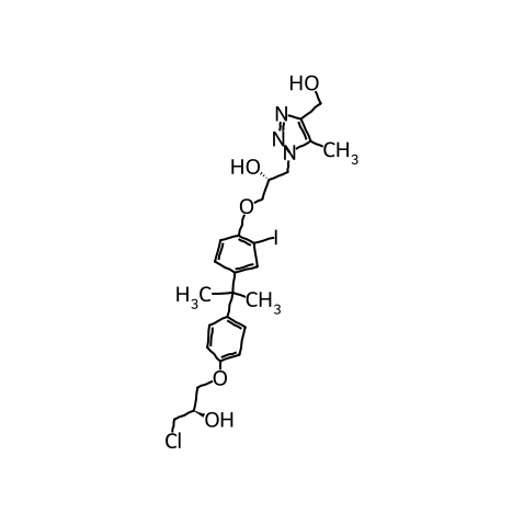 Cc1c(CO)nnn1C[C@@H](O)COc1ccc(C(C)(C)c2ccc(OC[C@@H](O)CCl)cc2)cc1I